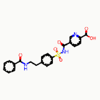 O=C(NCCc1ccc(S(=O)(=O)NC(=O)c2ccc(C(=O)O)nc2)cc1)c1ccccc1